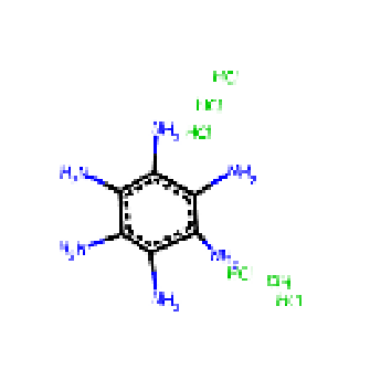 Cl.Cl.Cl.Cl.Cl.Cl.Nc1c(N)c(N)c(N)c(N)c1N